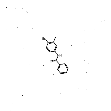 Cc1cc(NC(=O)c2ccccc2)ccc1Br